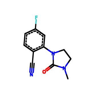 CN1CCN(c2cc(F)ccc2C#N)C1=O